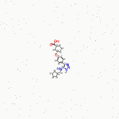 Cn1nnc(-c2ccc(O[C@H]3CCC[C@H](C(=O)O)C3)cc2)c1NCC1CCCC1